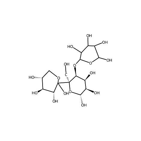 OC[C@@]1(C2(O)OC[C@@H](O)[C@H](O)[C@H]2O)O[C@@H](O)[C@H](O)[C@H](O)[C@@H]1OC1OC(O)C(O)C(O)C1O